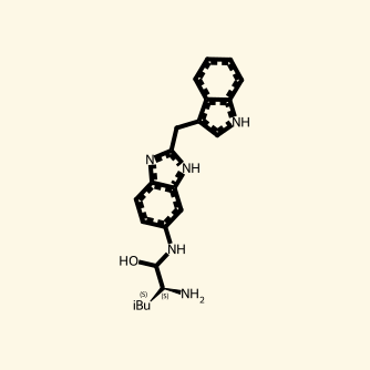 CC[C@H](C)[C@H](N)C(O)Nc1ccc2nc(Cc3c[nH]c4ccccc34)[nH]c2c1